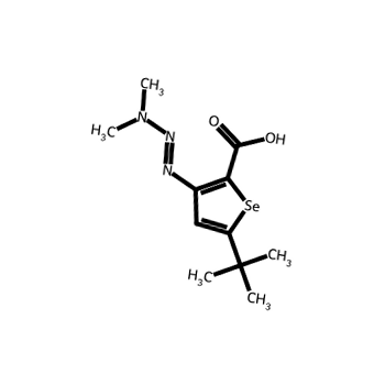 CN(C)N=Nc1cc(C(C)(C)C)[se]c1C(=O)O